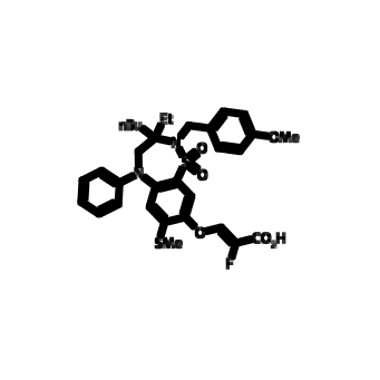 CCCCC1(CC)CN(c2ccccc2)c2cc(SC)c(O/C=C(\F)C(=O)O)cc2S(=O)(=O)N1Cc1ccc(OC)cc1